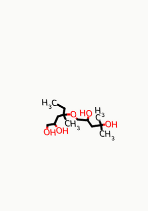 CCC(C)(CC(O)CO)OCC(O)CC(C)(C)O